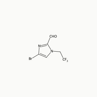 O=Cc1nc(Br)cn1CC(F)(F)F